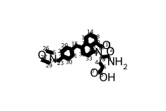 NC(=O)[C@H](CCC(=O)O)N1C(=O)c2cccc3c(Cc4ccc(CN5CCOCC5)cc4)ccc1c23